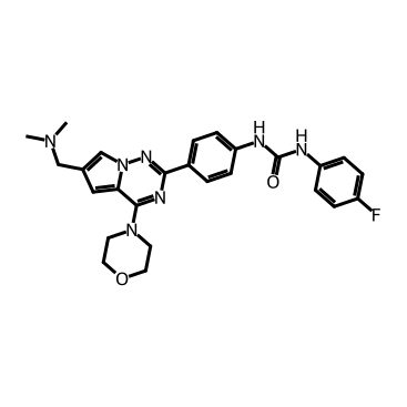 CN(C)Cc1cc2c(N3CCOCC3)nc(-c3ccc(NC(=O)Nc4ccc(F)cc4)cc3)nn2c1